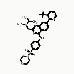 CC(C)N(C)Cc1nc(Nc2ccc(S(=O)(=O)N3CCOCC3)cc2)c2ccc(-c3ncccc3C(F)(F)F)cc2n1